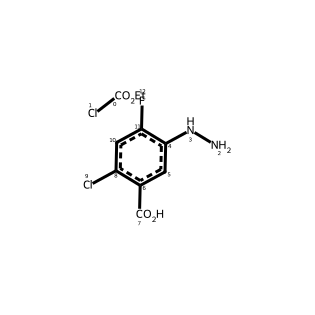 CCOC(=O)Cl.NNc1cc(C(=O)O)c(Cl)cc1F